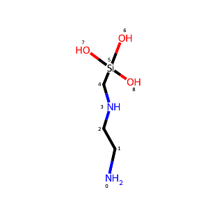 NCCNC[Si](O)(O)O